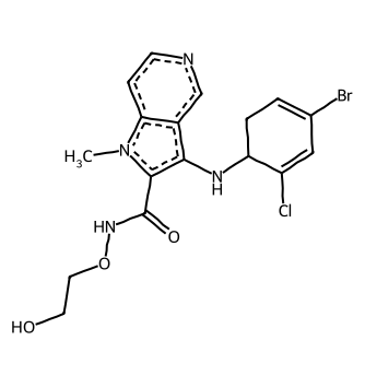 Cn1c(C(=O)NOCCO)c(NC2CC=C(Br)C=C2Cl)c2cnccc21